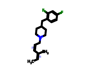 BC(/C=C\CN1CCC(Cc2ccc(F)cc2F)CC1)=C/C